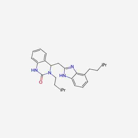 CC(C)CCc1cccc2[nH]c(CC3c4ccccc4NC(=O)N3CCC(C)C)nc12